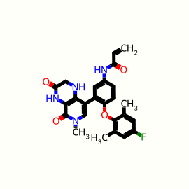 C=CC(=O)Nc1ccc(Oc2c(C)cc(F)cc2C)c(-c2cn(C)c(=O)c3c2NCC(=O)N3)c1